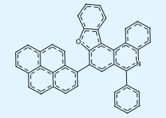 c1ccc(-c2nc3ccccc3c3c2cc(-c2ccc4ccc5cccc6ccc2c4c56)c2oc4ccccc4c23)cc1